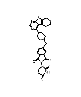 O=C1CCN(N2C(=O)c3ccc(CN4CCC(c5ncnc6sc7c(c56)CCCC7)CC4)cc3C2=O)C(=O)N1